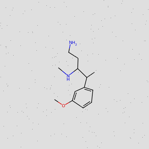 CNC(CCN)C(C)c1cccc(OC)c1